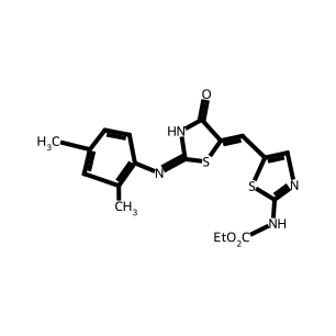 CCOC(=O)Nc1ncc(/C=C2\SC(=Nc3ccc(C)cc3C)NC2=O)s1